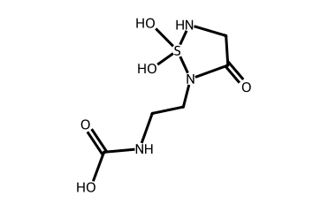 O=C(O)NCCN1C(=O)CNS1(O)O